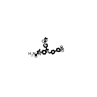 Cc1cc(C(N)=O)nn1-c1ccc2c(c1)c(C1=CCN(C(=O)OC(C)(C)C)CC1)cn2Cc1ccc(-c2ccc(S(C)(=O)=O)cc2)cc1